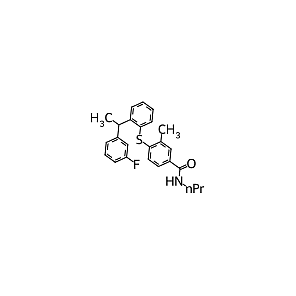 CCCNC(=O)c1ccc(Sc2ccccc2C(C)c2cccc(F)c2)c(C)c1